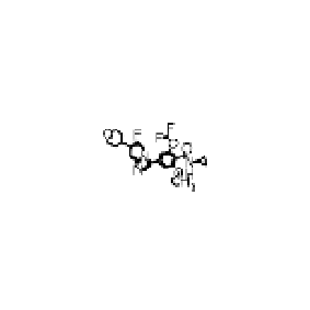 COc1cc(-c2cnc3cc(C4CCOCC4)c(F)cn23)cc(OC(F)F)c1C(=O)NC1CC1